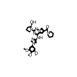 COc1cc(-n2cnc(Nc3nc(N4CCC[C@H]4CO)nn4cc(C(=O)N5CCCCC5)cc34)c2)cc(OC)c1OC